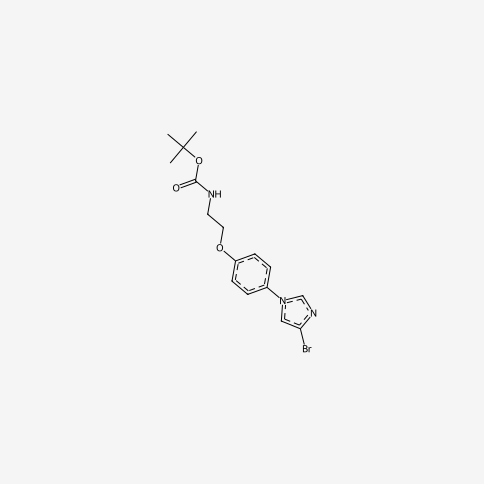 CC(C)(C)OC(=O)NCCOc1ccc(-n2cnc(Br)c2)cc1